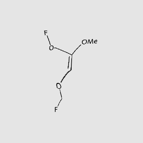 CO/C(=C/OCF)OF